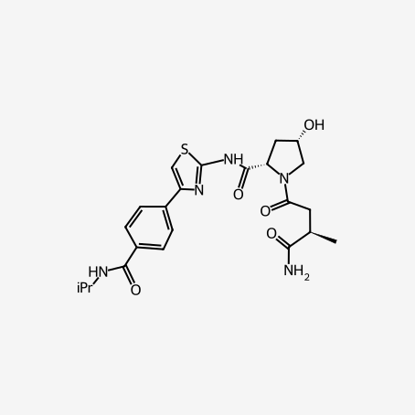 CC(C)NC(=O)c1ccc(-c2csc(NC(=O)[C@@H]3C[C@H](O)CN3C(=O)C[C@@H](C)C(N)=O)n2)cc1